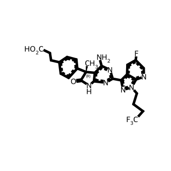 C[C@]1(c2ccc(CCC(=O)O)cc2)C(=O)Nc2nc(-c3nn(CCCC(F)(F)F)c4ncc(F)cc34)nc(N)c21